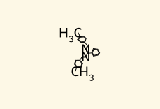 Cc1ccc(C=NC(N=Cc2ccc(C)cc2)c2ccccc2)cc1